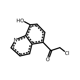 O=C(CCl)c1ccc(O)c2ncccc12